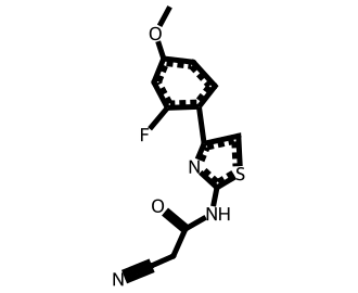 COc1ccc(-c2csc(NC(=O)CC#N)n2)c(F)c1